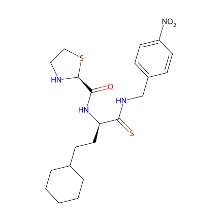 O=C(N[C@H](CCC1CCCCC1)C(=S)NCc1ccc([N+](=O)[O-])cc1)[C@H]1NCCS1